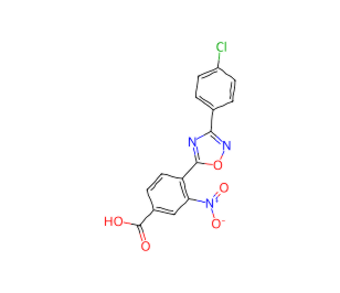 O=C(O)c1ccc(-c2nc(-c3ccc(Cl)cc3)no2)c([N+](=O)[O-])c1